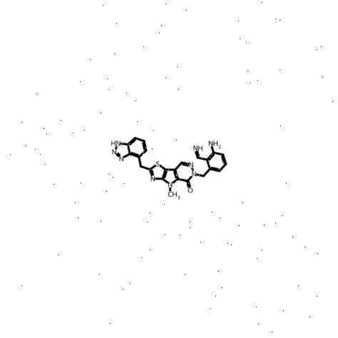 Cn1c2nc(Cc3cccc4[nH]nnc34)sc2c2cnn(Cc3cccc(N)c3C=N)c(=O)c21